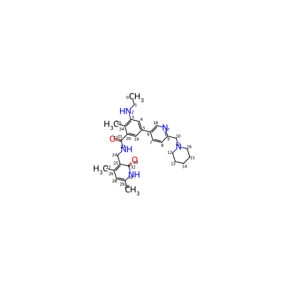 CCNc1cc(-c2ccc(CN3CCCCC3)nc2)cc(C(=O)NCc2c(C)cc(C)[nH]c2=O)c1C